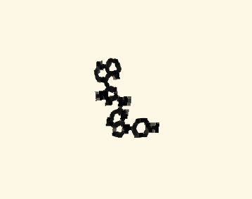 c1cnc2c(-c3cc(Nc4cnc5ccn(C6CCNCC6)c5n4)n[nH]3)ccnc2c1